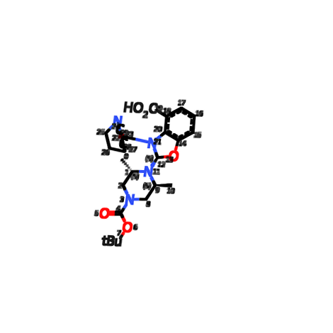 C[C@H]1CN(C(=O)OC(C)(C)C)C[C@H](C)N1[C@@H]1Oc2cccc(C(=O)O)c2N1C1CN2CCC1CC2